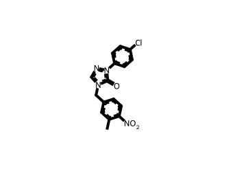 Cc1cc(Cn2cnn(-c3ccc(Cl)cc3)c2=O)ccc1[N+](=O)[O-]